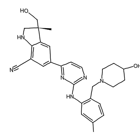 Cc1ccc(CN2CCC(O)CC2)c(Nc2nccc(-c3cc(C#N)c4c(c3)[C@@](C)(CO)CN4)n2)c1